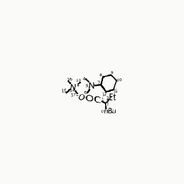 CCCCC(CC)C(=O)[O-].CN(C)C1CCCCC1.C[N+](C)(C)C